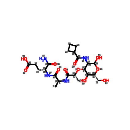 C[C@H](NC(=O)[C@@H](C)O[C@H]1[C@H](O)[C@@H](CO)OC(O)[C@@H]1NC(=O)C1CCC1)C(=O)N[C@H](CCC(=O)O)C(N)=O